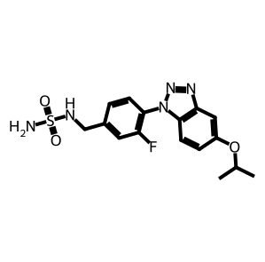 CC(C)Oc1ccc2c(c1)nnn2-c1ccc(CNS(N)(=O)=O)cc1F